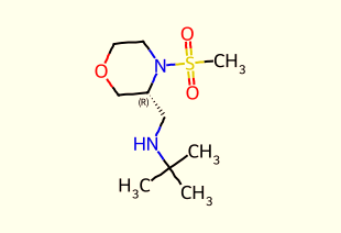 CC(C)(C)NC[C@@H]1COCCN1S(C)(=O)=O